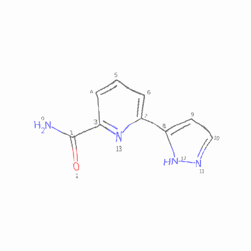 NC(=O)c1cccc(-c2ccn[nH]2)n1